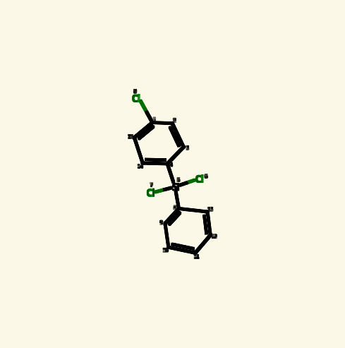 Clc1ccc([Si](Cl)(Cl)c2ccccc2)cc1